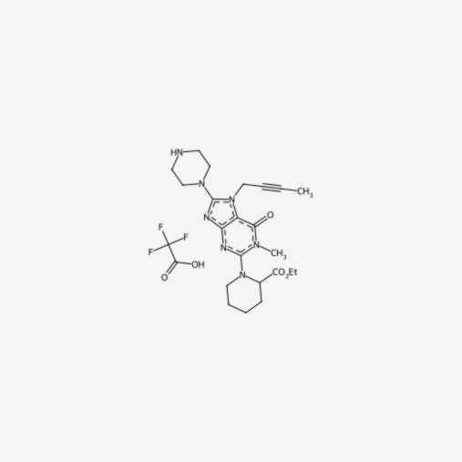 CC#CCn1c(N2CCNCC2)nc2nc(N3CCCCC3C(=O)OCC)n(C)c(=O)c21.O=C(O)C(F)(F)F